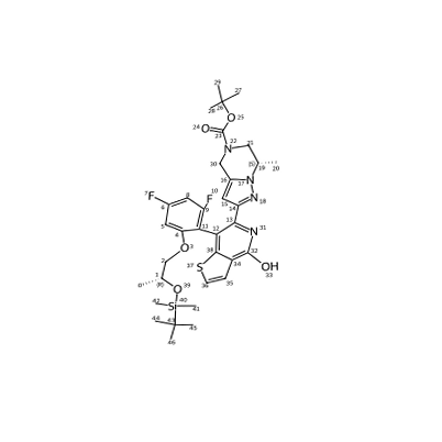 C[C@H](COc1cc(F)cc(F)c1-c1c(-c2cc3n(n2)[C@@H](C)CN(C(=O)OC(C)(C)C)C3)nc(O)c2ccsc12)O[Si](C)(C)C(C)(C)C